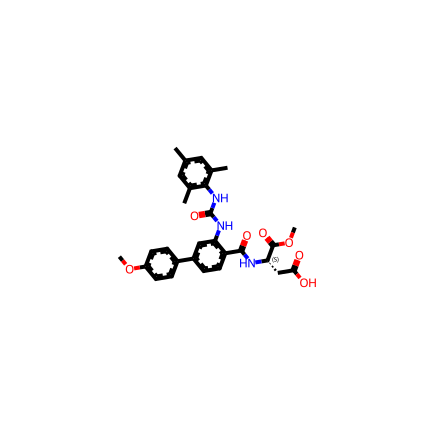 COC(=O)[C@H](CC(=O)O)NC(=O)c1ccc(-c2ccc(OC)cc2)cc1NC(=O)Nc1c(C)cc(C)cc1C